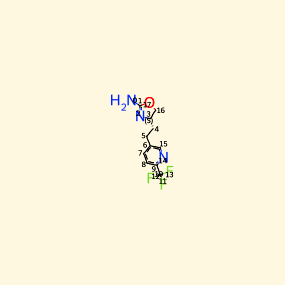 NC1=N[C@@H](CCc2ccc(C(F)(F)F)nc2)CO1